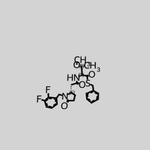 CO[C@H](C)[C@H](NC(=O)C[C@@H]1CCC(=O)N1Cc1cccc(F)c1F)C(=O)SCc1ccccc1